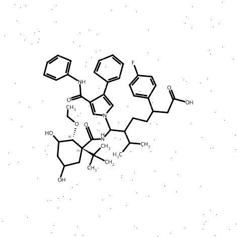 CCO[C@H]1C(O)CC(O)C[C@]1(C(=O)NC(C(CCC(CC(=O)O)c1ccc(F)cc1)C(C)C)n1cc(C(=O)Nc2ccccc2)c(-c2ccccc2)c1)C(C)(C)C